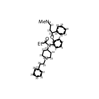 CCC(=O)N(c1ccccc1OC(CCNC)c1ccccc1)C1CCN(CCc2ccccc2)CC1